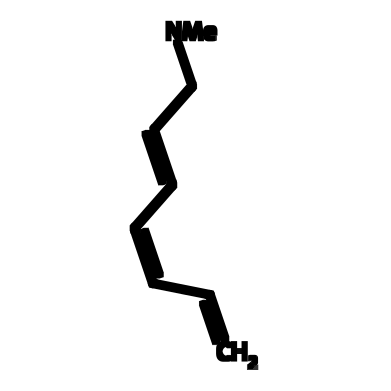 C=C/C=C\C=C\CNC